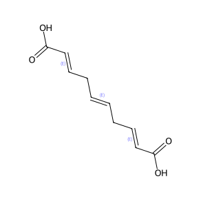 O=C(O)/C=C/C/C=C/C/C=C/C(=O)O